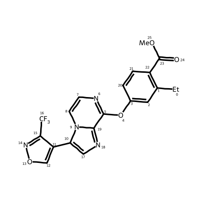 CCc1cc(Oc2nccn3c(-c4conc4C(F)(F)F)cnc23)ccc1C(=O)OC